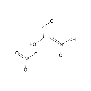 O=[N+]([O-])O.O=[N+]([O-])O.OCCO